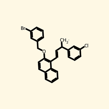 [CH2]C(C=Cc1c(OCc2cccc(Br)c2)ccc2ccccc12)c1cccc(Cl)c1